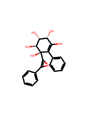 OC1=C(c2ccccc2)[C@](O)(C2=C(c3ccccc3)O2)[C@@H](O)[C@H](O)[C@@H]1O